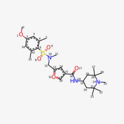 COc1cc(C)c(S(=O)(=O)N(C)Cc2cc(C(=O)NC3CC(C)(C)N(C)C(C)(C)C3)co2)c(C)c1